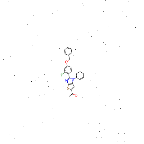 CC(=O)c1cc2c(nc(-c3ccc(OCc4ccccc4)cc3F)n2C2C=CCCC2)s1